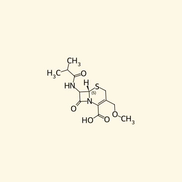 COCC1=C(C(=O)O)N2C(=O)C(NC(=O)C(C)C)[C@@H]2SC1